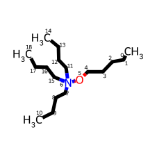 CCCCCO[N+](CCCC)(CCCC)CCCC